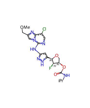 COCc1cn2c(Nc3cc([C@H]4OC[C@@H](OC(=O)NC(C)C)[C@H]4F)[nH]n3)ncc(Cl)c2n1